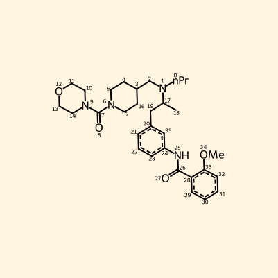 CCCN(CC1CCN(C(=O)N2CCOCC2)CC1)C(C)Cc1cccc(NC(=O)c2ccccc2OC)c1